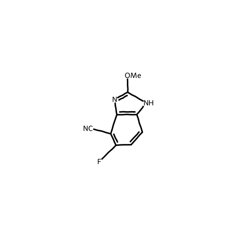 COc1nc2c(C#N)c(F)ccc2[nH]1